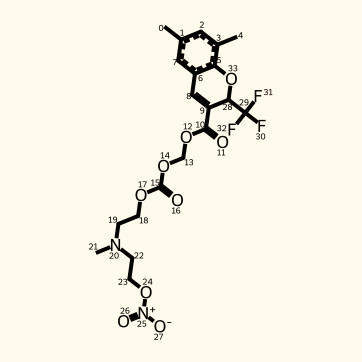 Cc1cc(C)c2c(c1)C=C(C(=O)OCOC(=O)OCCN(C)CCO[N+](=O)[O-])C(C(F)(F)F)O2